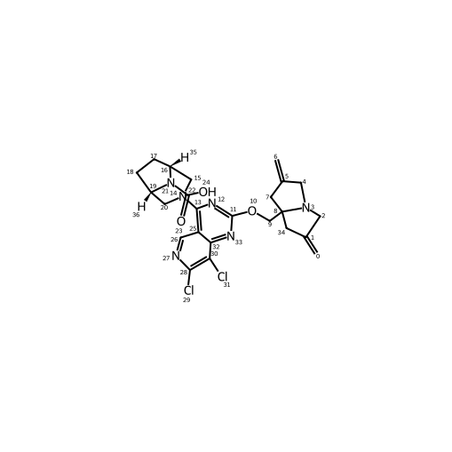 C=C1CN2CC(=C)CC2(COc2nc(N3C[C@H]4CC[C@@H](C3)N4C(=O)O)c3cnc(Cl)c(Cl)c3n2)C1